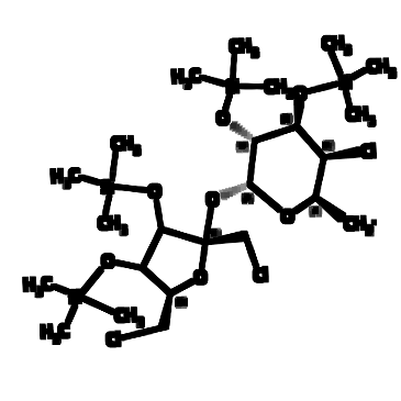 [CH2][C@H]1O[C@H](O[C@]2(CCl)O[C@@H](CCl)C(O[Si](C)(C)C)C2O[Si](C)(C)C)[C@H](O[Si](C)(C)C)[C@@H](O[Si](C)(C)C)[C@H]1Cl